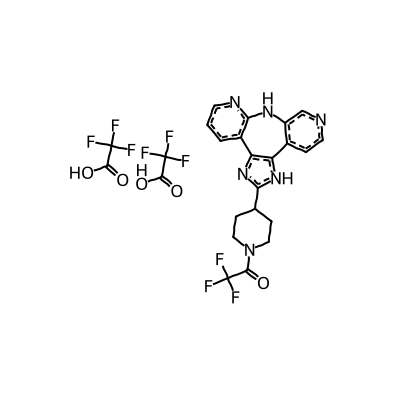 O=C(N1CCC(c2nc3c([nH]2)-c2ccncc2Nc2ncccc2-3)CC1)C(F)(F)F.O=C(O)C(F)(F)F.O=C(O)C(F)(F)F